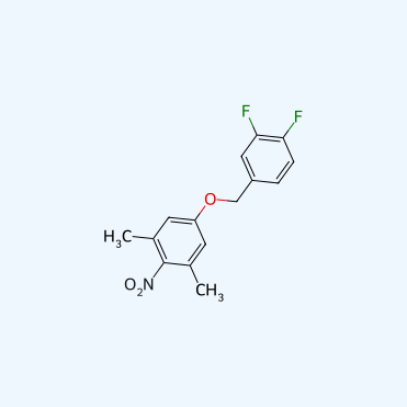 Cc1cc(OCc2ccc(F)c(F)c2)cc(C)c1[N+](=O)[O-]